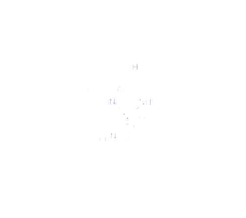 CC(C)(C)N1C[C@@H](C(=O)N2C[C@@H](NC(=O)C3([C@H]4CC[C@@H](C)CC4)CCOCC3)C[C@H]2C(N)=O)[C@H](c2ccc(Cl)cc2)C1